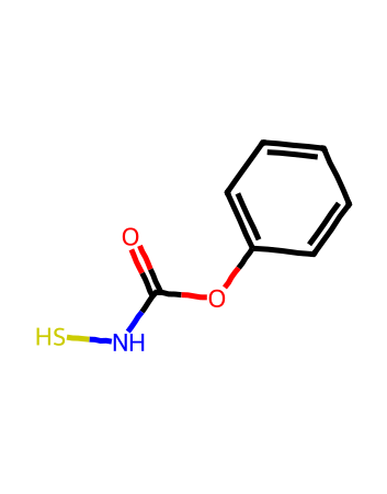 O=C(NS)Oc1ccccc1